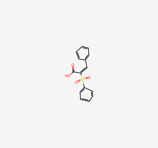 O=C(O)/C(=C\c1ccccc1)S(=O)(=O)c1ccccc1